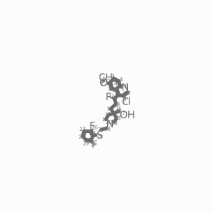 COc1ccc2ncc(Cl)c([C@H](F)CCC3(CO)CCN(CCSc4c(F)cccc4F)CC3)c2c1